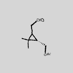 CC(=O)OC[C@H]1C(CC=O)C1(C)C